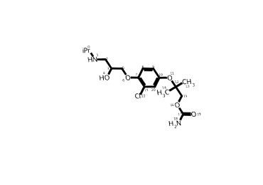 CC(C)NCC(O)COc1ccc(OC(C)(C)COC(N)=O)cc1Cl